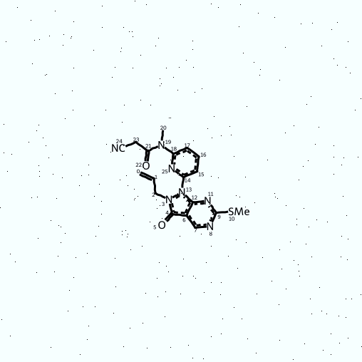 C=CCn1c(=O)c2cnc(SC)nc2n1-c1cccc(N(C)C(=O)CC#N)n1